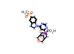 CS(=O)(=O)c1ccc2c(c1)CCN2c1cc(OC2C3COCC2CN(C(=O)O)C3)ncn1